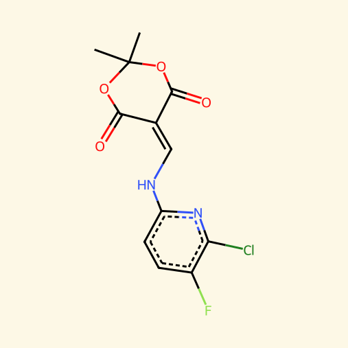 CC1(C)OC(=O)C(=CNc2ccc(F)c(Cl)n2)C(=O)O1